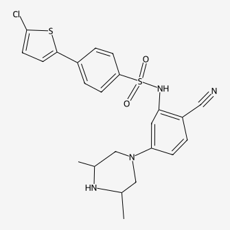 CC1CN(c2ccc(C#N)c(NS(=O)(=O)c3ccc(-c4ccc(Cl)s4)cc3)c2)CC(C)N1